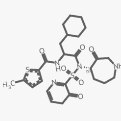 Cc1ccc(C(=O)NC(CC2CCCCC2)C(=O)N([C@H]2CCCNCC2=O)S(=O)(=O)C2=NC=CCC2=O)s1